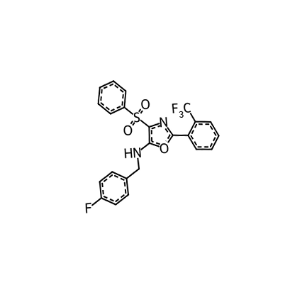 O=S(=O)(c1ccccc1)c1nc(-c2ccccc2C(F)(F)F)oc1NCc1ccc(F)cc1